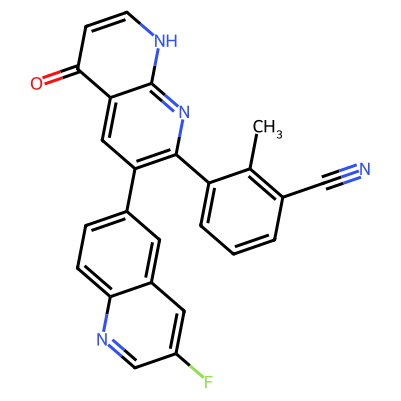 Cc1c(C#N)cccc1-c1nc2[nH]ccc(=O)c2cc1-c1ccc2ncc(F)cc2c1